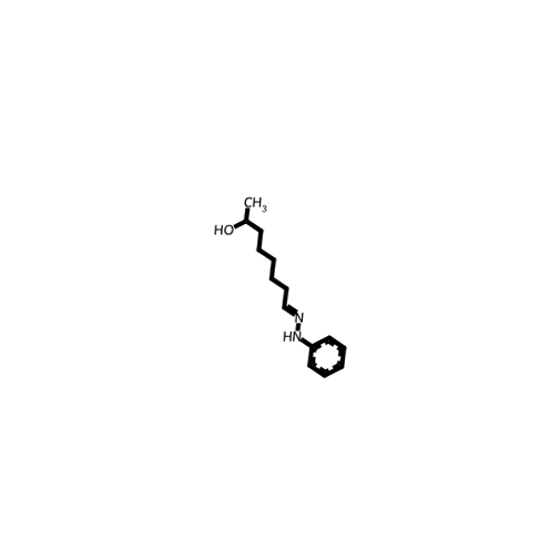 CC(O)CCCCCC=NNc1ccccc1